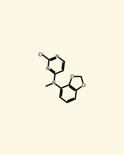 CN(c1ccnc(Cl)n1)c1cccc2c1OCO2